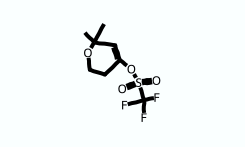 CC1(C)C=C(OS(=O)(=O)C(F)(F)F)CCO1